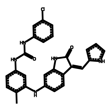 Cc1ccc(NC(=O)Nc2cccc(Cl)c2)cc1Nc1ccc2c(c1)NC(=O)C2=Cc1ccc[nH]1